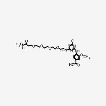 CNC(=O)CCOCCOCCOCCOCCNc1nc(Cl)nc(Nc2ccc(C(=O)O)cc2OC)n1